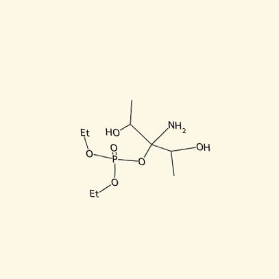 CCOP(=O)(OCC)OC(N)(C(C)O)C(C)O